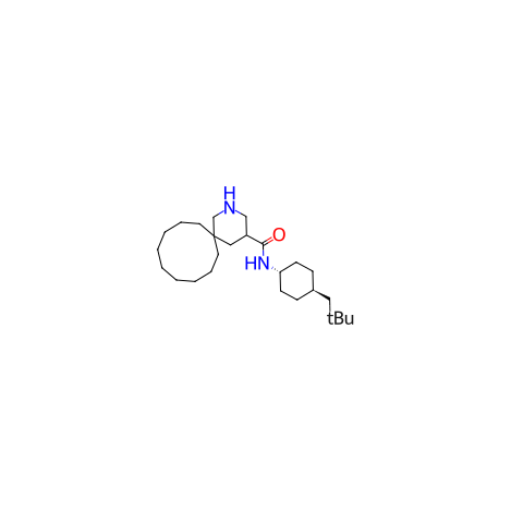 CC(C)(C)C[C@H]1CC[C@H](NC(=O)C2CNCC3(CCCCCCCCC3)C2)CC1